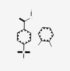 CC(C)NC(=O)c1ccc(S(N)(=O)=O)cc1.COc1ccccc1C(C)=O